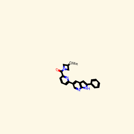 COC1CN(C(=O)c2cccc(-c3cnc4[nH]c(-c5ccccc5)cc4c3)n2)C1